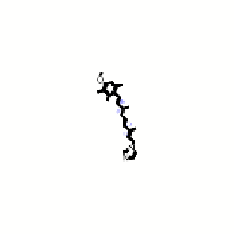 COc1cc(C)c(/C=C/C(C)=C/C=C/C(C)=C/Cn2ccnc2)c(C)c1C